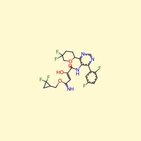 N=C(/C=C(\O)C(=O)Nc1c(-c2cc(F)ccc2F)ncnc1C1CCC(F)(F)CO1)OCC1CC1(F)F